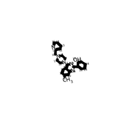 Cc1ccc2c(N3CCN(Cc4ccccn4)CC3)nc(-c3ccccc3O)nc2c1